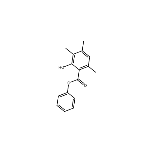 Cc1cc(C)c(C(=O)Oc2ccccc2)c(O)c1C